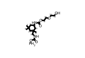 CC1(C)CC(NC(=O)OCCOCCO)CC(C)(CNC(=O)OP)C1